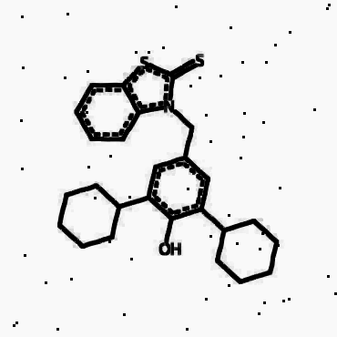 Oc1c(C2CCCCC2)cc(Cn2c(=S)sc3ccccc32)cc1C1CCCCC1